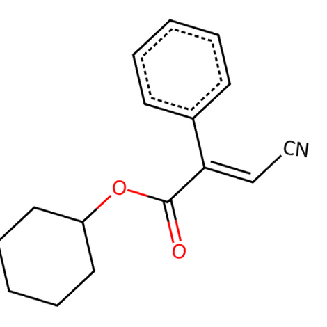 N#CC=C(C(=O)OC1CCCCC1)c1ccccc1